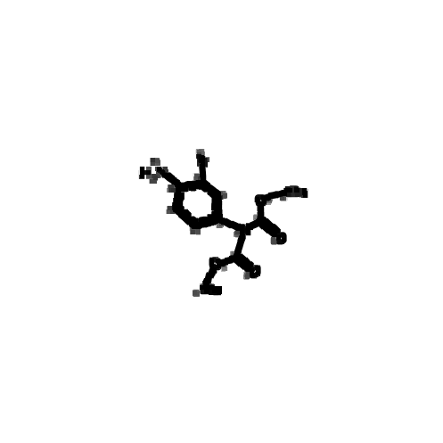 CC(C)(C)OC(=O)N(C(=O)OC(C)(C)C)c1ccc(N)c(Br)c1